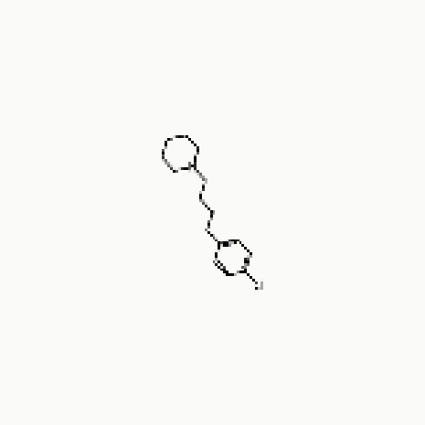 Clc1ccc(CCCCN2CCCCC2)cc1